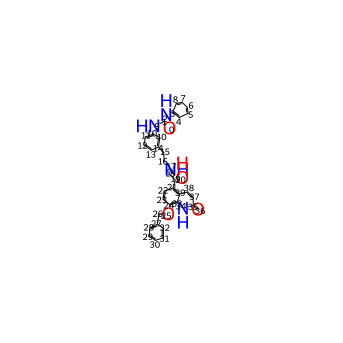 O=C(Nc1ccccc1)Nc1cccc(CCNCC(O)c2ccc(OCc3ccccc3)c3[nH]c(=O)ccc23)c1